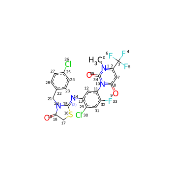 Cn1c(C(F)(F)F)cc(=O)n(-c2cc(/N=C3\SCC(=O)N3Cc3ccc(Cl)cc3)c(Cl)cc2F)c1=O